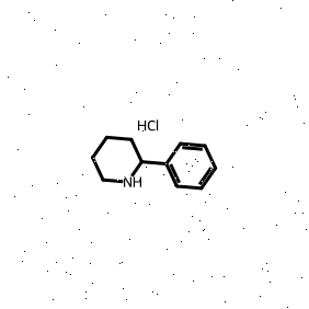 Cl.c1ccc(C2CCCCN2)cc1